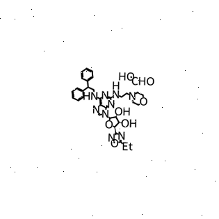 CCc1nc([C@H]2O[C@@H](n3cnc4c(NCC(c5ccccc5)c5ccccc5)nc(NCCN5CCOCC5)nc43)[C@H](O)[C@@H]2O)no1.O=CO